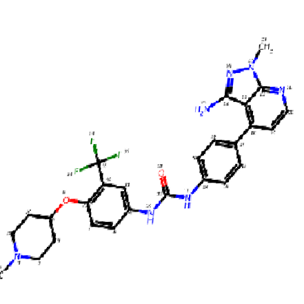 CN1CCC(Oc2ccc(NC(=O)Nc3ccc(-c4ccnc5c4c(N)nn5C)cc3)cc2C(F)(F)F)CC1